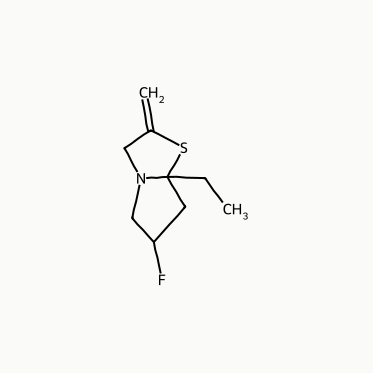 C=C1CN2CC(F)CC2(CC)S1